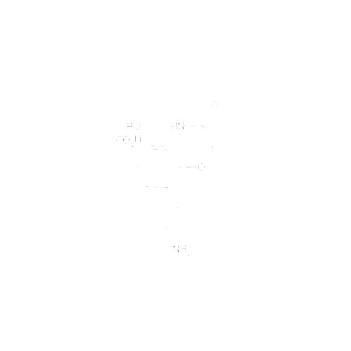 CC(=O)O.NCCc1ccc(O)c2c1OCC(=O)N2